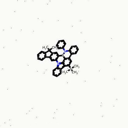 CC1(C)c2ccccc2-c2cc3c(cc21)B1c2c(cc([Si](C)(C)C)c4c5ccccc5n-3c24)-c2ccccc2N1c1ccccc1